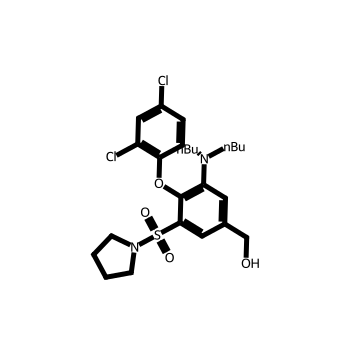 CCCCN(CCCC)c1cc(CO)cc(S(=O)(=O)N2CCCC2)c1Oc1ccc(Cl)cc1Cl